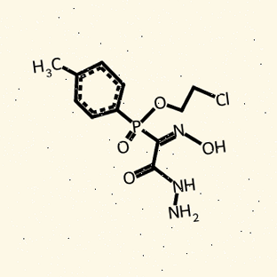 Cc1ccc(P(=O)(OCCCl)C(=NO)C(=O)NN)cc1